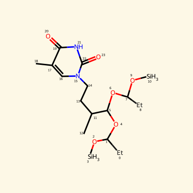 CCC(O[SiH3])OC(OC(CC)O[SiH3])C(C)CCn1cc(C)c(=O)[nH]c1=O